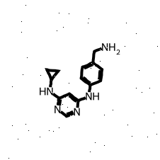 NCc1ccc(Nc2cc(NC3CC3)ncn2)cc1